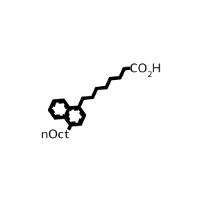 CCCCCCCCc1ccc(CCCCCCCC(=O)O)c2ccccc12